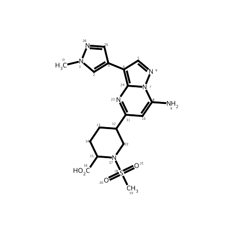 Cn1cc(-c2cnn3c(N)cc(C4CCC(C(=O)O)N(S(C)(=O)=O)C4)nc23)cn1